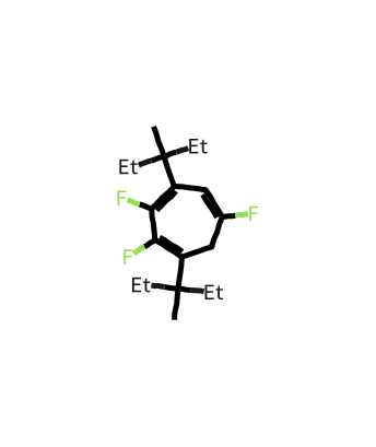 CCC(C)(CC)C1=C(F)C(F)=C(C(C)(CC)CC)CC(F)=C1